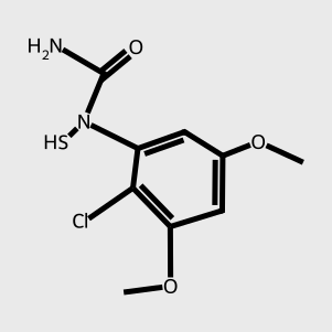 COc1cc(OC)c(Cl)c(N(S)C(N)=O)c1